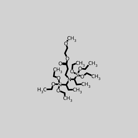 CCO[Si](OCC)(OCC)C(CC)N(CCC(=O)OCCOC)C(CC)[Si](OCC)(OCC)OCC